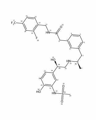 C[C@H](Cc1cccc(CC(=O)NCc2ccc(C(F)(F)F)cc2F)c1)NC[C@H](O)c1ccc(O)c(NS(C)(=O)=O)c1